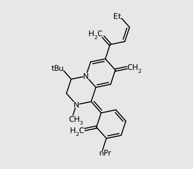 C=C1C=C2/C(=c3\cccc(CCC)c3=C)N(C)CC(C(C)(C)C)N2C=C1C(=C)/C=C\CC